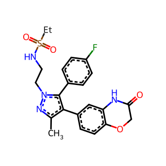 CCS(=O)(=O)NCCn1nc(C)c(-c2ccc3c(c2)NC(=O)CO3)c1-c1ccc(F)cc1